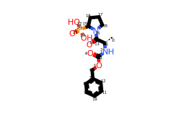 C[C@H](NC(=O)OCc1ccccc1)C(=O)N1CCCC1P(=O)(O)O